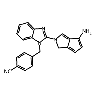 N#Cc1ccc(Cn2c(N3C=C4C(N)=CC=C4C3)nc3ccccc32)cc1